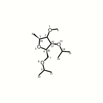 COC1[C@H](C)O[C@H](COC(C)C)[C@@H]1OC(C)C